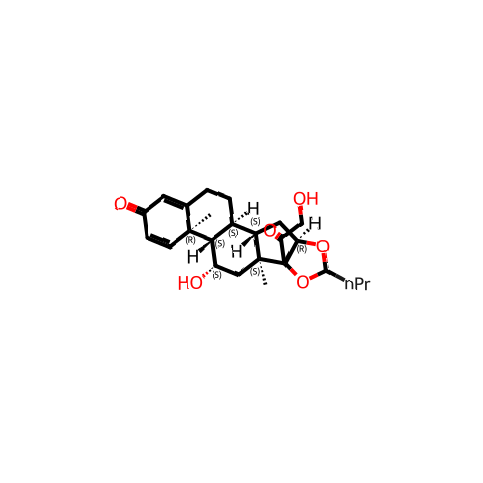 CCCC1O[C@@H]2C[C@H]3[C@@H]4CCC5=CC(=O)C=C[C@]5(C)[C@H]4[C@@H](O)C[C@]3(C)C2(C(=O)CO)O1